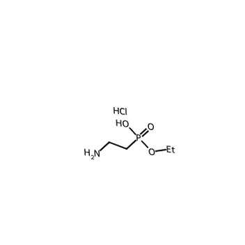 CCOP(=O)(O)CCN.Cl